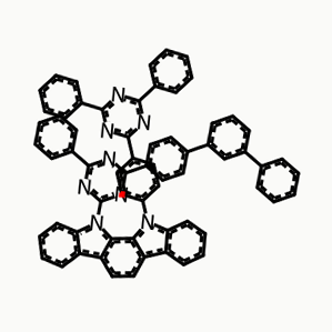 c1ccc(-c2cccc(-c3ccc(-c4nc(-c5ccccc5)nc(-n5c6ccccc6c6ccc7c8ccccc8n(-c8ccc(-c9nc(-c%10ccccc%10)nc(-c%10ccccc%10)n9)cc8)c7c65)n4)cc3)c2)cc1